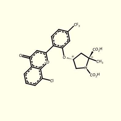 C[C@@]1(C(=O)O)C[C@@H](Oc2cc(C(F)(F)F)ccc2-c2cc(=O)c3cccc(Cl)c3o2)CN1C(=O)O